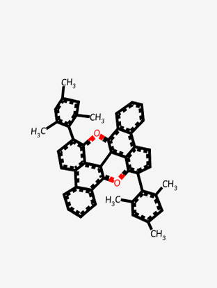 Cc1cc(C)c(-c2ccc3c4ccccc4c4oc5c(-c6c(C)cc(C)cc6C)ccc6c7ccccc7c7oc2c3c4-c7c56)c(C)c1